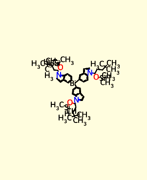 C[SiH](C)OC(CCC(C)(C)C)n1ccc2c[c]([Bi]([c]3ccc4c(ccn4C(CCC(C)(C)C)O[SiH](C)C)c3)[c]3ccc4c(ccn4C(CCC(C)(C)C)O[SiH](C)C)c3)ccc21